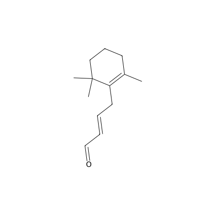 CC1=C(C/C=C/C=O)C(C)(C)CCC1